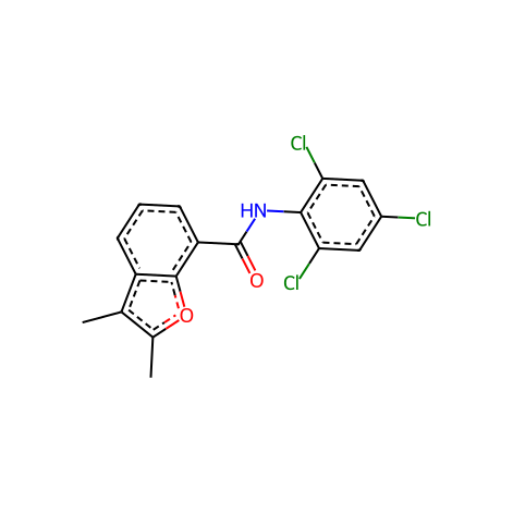 Cc1oc2c(C(=O)Nc3c(Cl)cc(Cl)cc3Cl)cccc2c1C